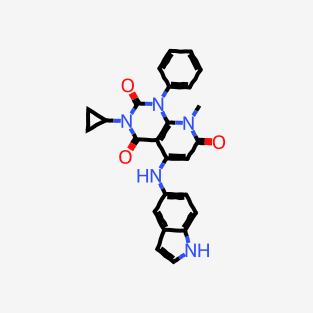 Cn1c(=O)cc(Nc2ccc3[nH]ccc3c2)c2c(=O)n(C3CC3)c(=O)n(-c3ccccc3)c21